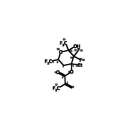 C=C(C(=O)OC1(CC)CC(C(F)(F)F)OC(O)(C(F)(F)F)C1(F)F)C(F)(F)F